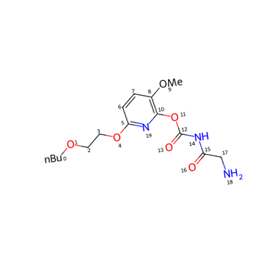 CCCCOCCOc1ccc(OC)c(OC(=O)NC(=O)CN)n1